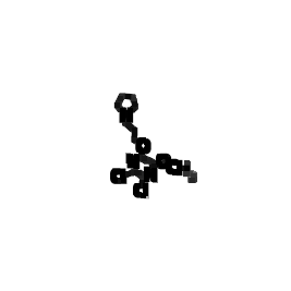 COc1nc(Cl)c(Cl)nc1OCCCN1CCCC1